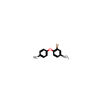 N#Cc1ccc(Oc2ccc([N+](=O)[O-])cc2Br)cc1